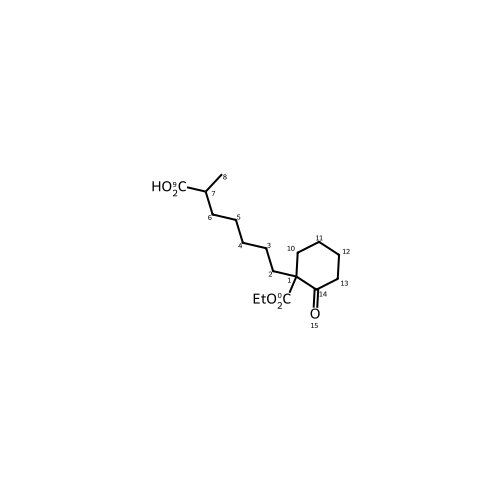 CCOC(=O)C1(CCCCCC(C)C(=O)O)CCCCC1=O